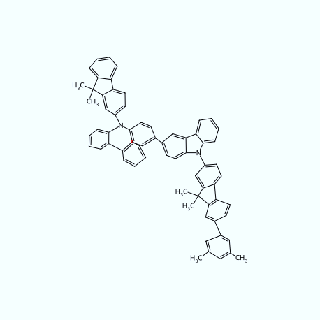 Cc1cc(C)cc(-c2ccc3c(c2)C(C)(C)c2cc(-n4c5ccccc5c5cc(-c6ccc(N(c7ccc8c(c7)C(C)(C)c7ccccc7-8)c7ccccc7-c7ccccc7)cc6)ccc54)ccc2-3)c1